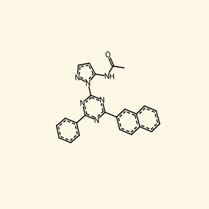 CC(=O)Nc1ccnn1-c1nc(-c2ccccc2)nc(-c2ccc3ccccc3c2)n1